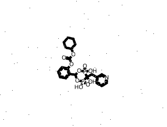 O=C(Oc1ccccc1C1OP(=O)(O)C(O)(Cc2cccnc2)P(=O)(O)O1)OC1CCCCC1